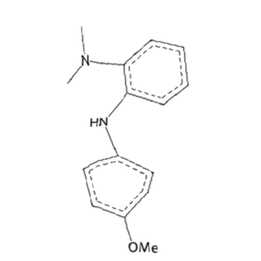 COc1ccc(Nc2ccccc2N(C)C)cc1